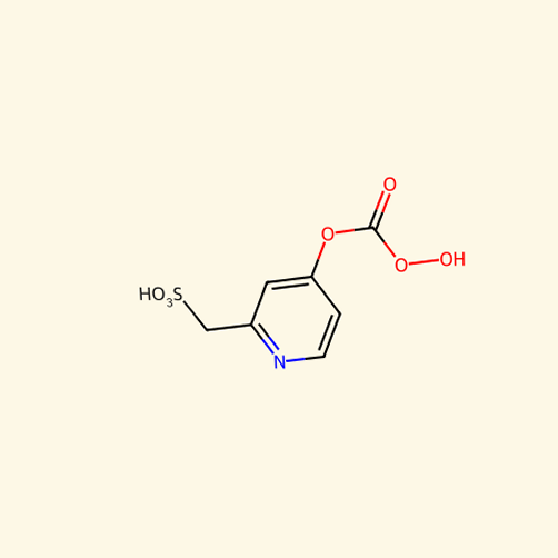 O=C(OO)Oc1ccnc(CS(=O)(=O)O)c1